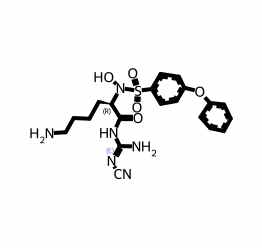 N#C/N=C(\N)NC(=O)[C@@H](CCCCN)N(O)S(=O)(=O)c1ccc(Oc2ccccc2)cc1